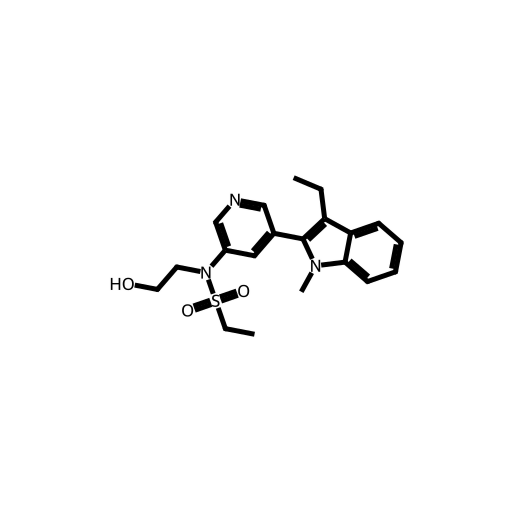 CCc1c(-c2cncc(N(CCO)S(=O)(=O)CC)c2)n(C)c2ccccc12